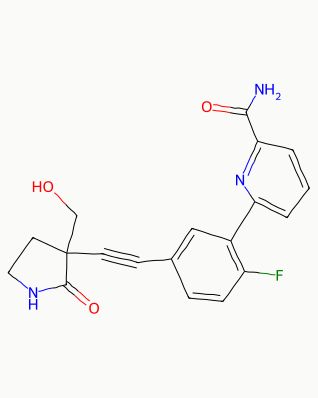 NC(=O)c1cccc(-c2cc(C#CC3(CO)CCNC3=O)ccc2F)n1